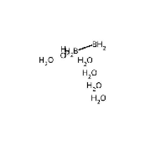 BB.O.O.O.O.O.O